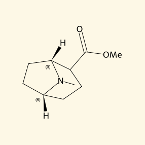 COC(=O)C1CC[C@@H]2CC[C@H]1N2C